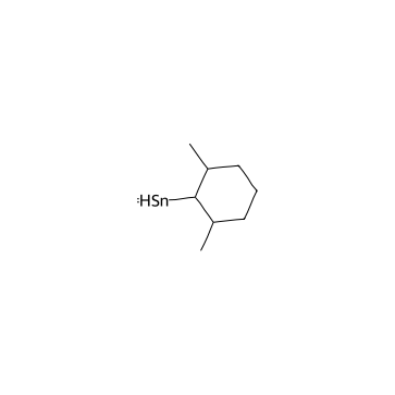 CC1CCCC(C)[CH]1[SnH]